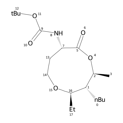 CCCC[C@H]1[C@H](C)OC(=O)[C@@H](NC(=O)OC(C)(C)C)CCO[C@@H]1CC